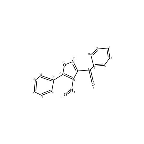 O=Nc1c(C(=O)c2ccccc2)noc1-c1ccccc1